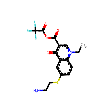 CCn1cc(C(=O)OC(=O)C(F)(F)F)c(=O)c2cc(SCCN)ccc21